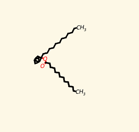 CCCCCCCCCCCCCC(=O)OC1(CCCCCCCCCCCC)CC23CC1(C2)C3